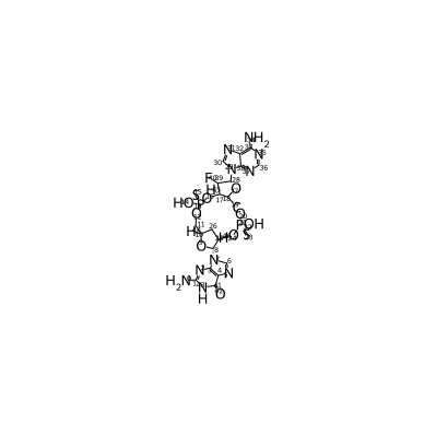 Nc1nc2c(ncn2[C@@H]2O[C@@H]3COP(O)(=S)O[C@@H]4C(COP(O)(=S)O[C@@H]2C3)OC(n2cnc3c(N)ncnc32)C4F)c(=O)[nH]1